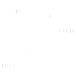 CC1(C(=O)O)CC(C(=O)O)=CC(Br)=C1F